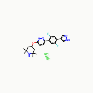 CC1(C)CC(Oc2ccc(-c3cc(F)c(-c4cn[nH]c4)cc3F)nn2)CC(C)(C)N1.Cl.Cl.Cl